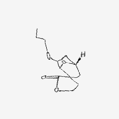 CCCOC1C[C@@H]2CC3(CCOC3=O)C1O2